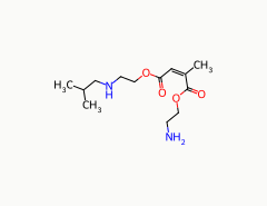 CC(=CC(=O)OCCNCC(C)C)C(=O)OCCN